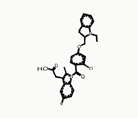 CCN1c2ccccc2CC1COc1ccc(C(=O)n2c(C)c(CC(=O)O)c3cc(F)ccc32)c(Cl)c1